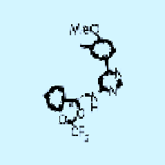 COc1ccc(-c2cc(NC[C@H](OC(=O)C(F)(F)F)c3ccccc3)ncn2)cc1C